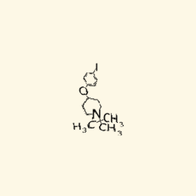 CC(C)(C)N1CCC(Oc2ccc(I)cc2)CC1